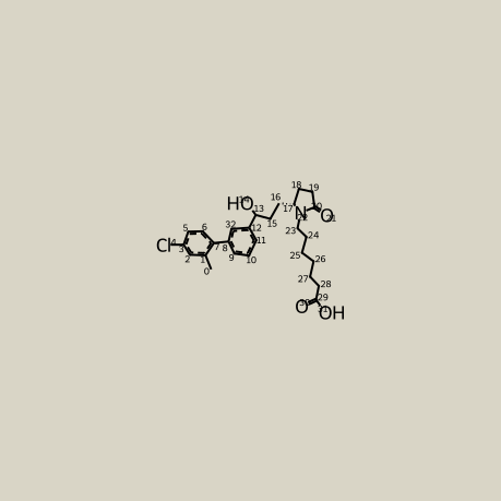 Cc1cc(Cl)ccc1-c1cccc(C(O)CC[C@@H]2CCC(=O)N2CCCCCCC(=O)O)c1